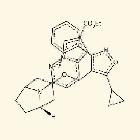 CCOC(=O)c1cn2nc(N3C4CC[C@H]3CC(OCc3c(-c5ccccc5C)noc3C3CC3)C4)ccc2n1